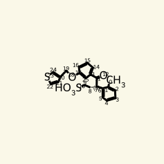 Cc1ccccc1[C@H](CCS(=O)(=O)O)C(=O)c1cccc(OCc2ccsc2)c1